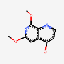 COc1cc2c(O)ccnc2c(OC)n1